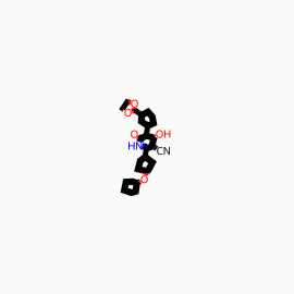 N#Cc1c(-c2ccc(Oc3ccccc3)cc2)[nH]c(=O)c(-c2cccc(C3OCCO3)c2)c1O